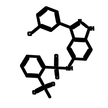 CS(=O)(=O)c1ccccc1S(=O)(=O)Nc1ccc2[nH]nc(-c3cccc(Cl)c3)c2c1